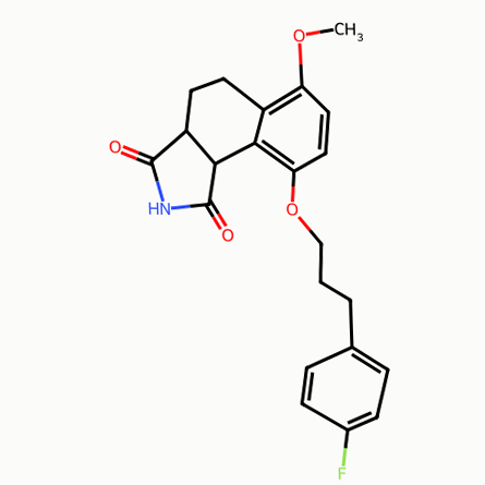 COc1ccc(OCCCc2ccc(F)cc2)c2c1CCC1C(=O)NC(=O)C21